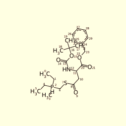 CC[PH](C)(CC)CSC(=O)CC(NC(=O)OC(C)(C)C)C(=O)OCc1ccccc1